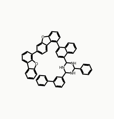 c1ccc(-c2cccc(C3NC(c4ccccc4)NC(c4ccc(-c5cccc6oc7cc(-c8cccc9c8oc8ccccc89)ccc7c56)c5ccccc45)N3)c2)cc1